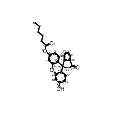 CCCCCC(=O)Oc1ccc2c(c1)Oc1cc(O)ccc1C21OC(=O)c2ccccc21